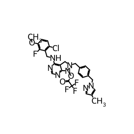 COc1ccc(Cl)c(CNc2ncnc3c2CN(Cc2ccc(Cn4cc(C)cn4)cc2)N3OC(=O)C(F)(F)F)c1F